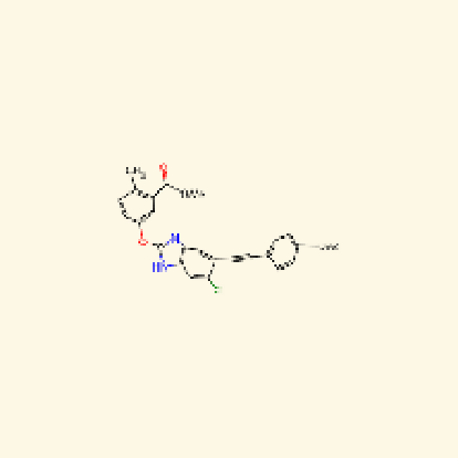 COC(=O)c1cc(Oc2nc3cc(C#Cc4ccc(OC(C)=O)cc4)c(Cl)cc3[nH]2)ccc1C